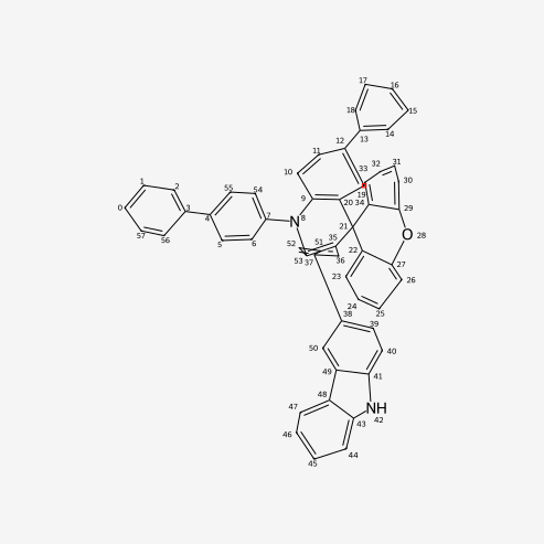 c1ccc(-c2ccc(N3c4ccc(-c5ccccc5)cc4C4(c5ccccc5Oc5ccccc54)c4cc(-c5ccc6[nH]c7ccccc7c6c5)ccc43)cc2)cc1